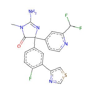 CN1C(=O)C(c2ccnc(C(F)F)c2)(c2ccc(F)c(-c3cscn3)c2)N=C1N